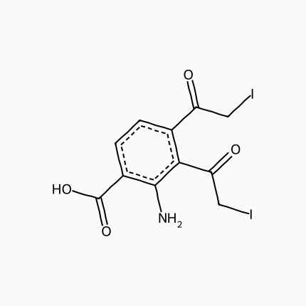 Nc1c(C(=O)O)ccc(C(=O)CI)c1C(=O)CI